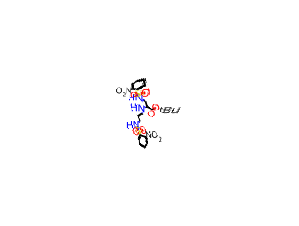 CC(C)(C)OC(=O)C(CNS(=O)(=O)c1ccccc1[N+](=O)[O-])NCCCNS(=O)(=O)c1ccccc1[N+](=O)[O-]